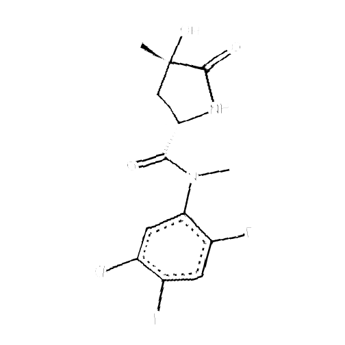 CN(C(=O)[C@@H]1C[C@](C)(O)C(=O)N1)c1cc(Cl)c(F)cc1F